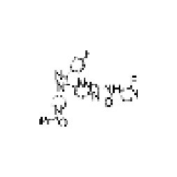 CC(C)C(=O)N1CCC(n2cnc(-c3ccc(F)cc3)c2-c2ccc3nc(NC(=O)c4ccnc(F)c4)cn3n2)CC1